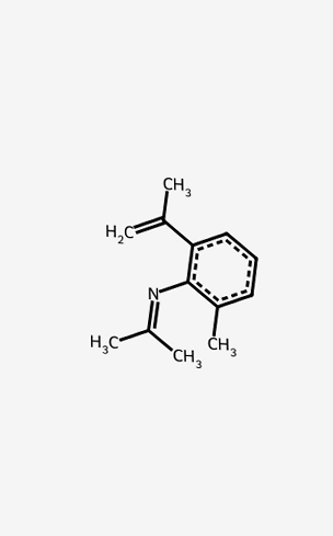 C=C(C)c1cccc(C)c1N=C(C)C